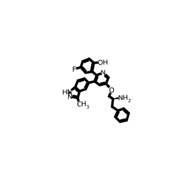 Cc1n[nH]c2ccc(-c3cc(OC[C@@H](N)Cc4ccccc4)cnc3-c3cc(F)ccc3O)cc12